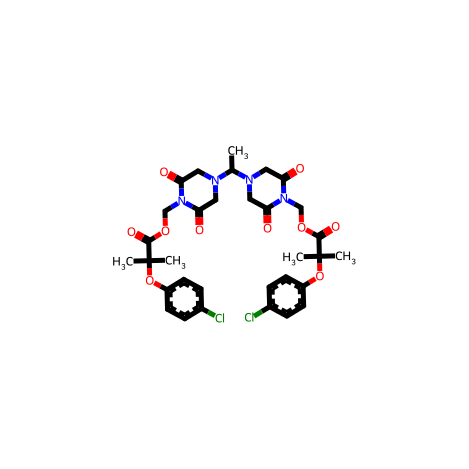 CC(N1CC(=O)N(COC(=O)C(C)(C)Oc2ccc(Cl)cc2)C(=O)C1)N1CC(=O)N(COC(=O)C(C)(C)Oc2ccc(Cl)cc2)C(=O)C1